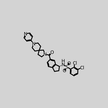 O=C(c1ccc2c(c1)[C@H](NS(=O)(=O)c1cccc(Cl)c1Cl)CC2)N1CCC2(CCN(c3ccncc3)CC2)C1